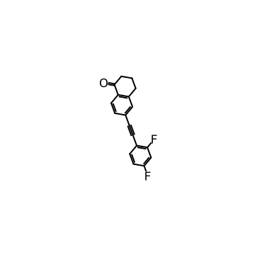 O=C1CCCc2cc(C#Cc3ccc(F)cc3F)ccc21